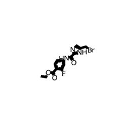 CCOC(=O)c1ccc(NC(=O)c2ncc(CBr)[nH]2)cc1F